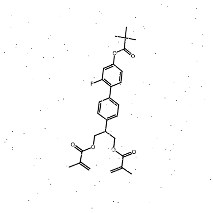 C=C(C)C(=O)OCC(COC(=O)C(=C)C)c1ccc(-c2ccc(OC(=O)C(C)(C)C)cc2F)cc1